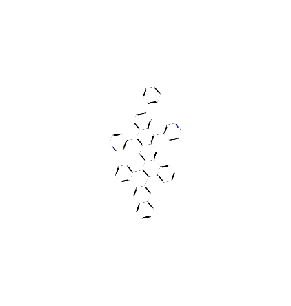 c1ccc(-c2ccc3c(-c4ccncc4)c4cc5c(-c6ccccc6)c(-c6ccc7ccccc7c6)c6ccccc6c5cc4c(-c4ccncc4)c3c2)cc1